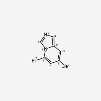 Brc1cc(Br)n2cncc2c1